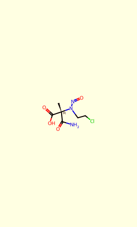 C[C@@](C(N)=O)(C(=O)O)N(CCCl)N=O